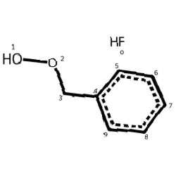 F.OOCc1ccccc1